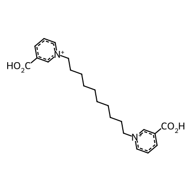 O=C(O)c1ccc[n+](CCCCCCCCCC[n+]2cccc(C(=O)O)c2)c1